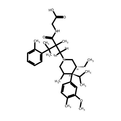 [2H]C([2H])(N1CC(C)[C@](c2ccc(C)c(OC)c2)(C(C)C)[C@@H](CC)C1)C(C)(C(=O)NCC(=O)O)C(C)(C)c1ccccc1C